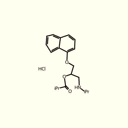 CC(C)NCC(COc1cccc2ccccc12)OC(=O)C(C)C.Cl